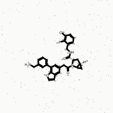 NCc1cccc(-c2cc(CC(=O)N3C4C[C@@H]4C[C@H]3C(=O)NCc3cccc(Cl)c3F)cc3ccoc23)c1